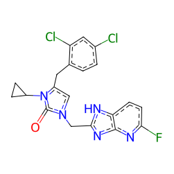 O=c1n(Cc2nc3nc(F)ccc3[nH]2)cc(Cc2ccc(Cl)cc2Cl)n1C1CC1